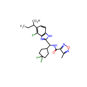 Cc1nonc1C(=O)NC(c1nc2c(F)c(C(CC(F)(F)F)C(=O)O)ccc2[nH]1)C1CCC(F)(F)CC1